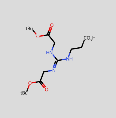 CC(C)(C)OC(=O)CN=C(NCCC(=O)O)NCC(=O)OC(C)(C)C